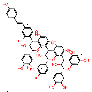 OC1=C(O)CC([C@H]2Oc3c(c(O)cc(O)c3[C@H]3c4c(O)cc(O)cc4O[C@H](C4C=CC(O)=C(O)C4)[C@@H]3O)[C@H](c3c(O)cc(O)c4c3O[C@H](c3ccc(O)c(O)c3)[C@H](O)[C@H]4c3c(O)cc(/C=C/c4ccc(O)cc4)cc3O)[C@H]2O)C=C1